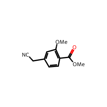 COC(=O)c1ccc(CC#N)cc1OC